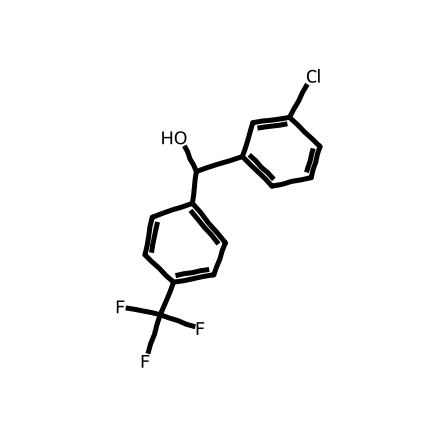 OC(c1ccc(C(F)(F)F)cc1)c1cccc(Cl)c1